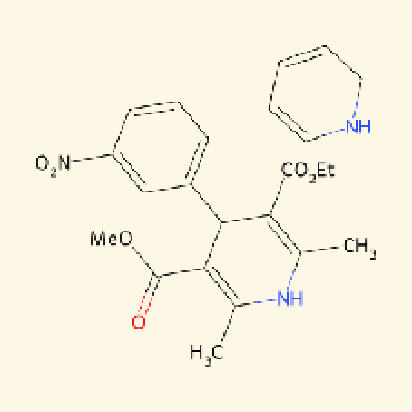 C1=CCNC=C1.CCOC(=O)C1=C(C)NC(C)=C(C(=O)OC)C1c1cccc([N+](=O)[O-])c1